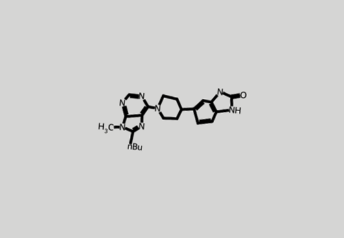 CCCCc1nc2c(N3CCC(c4ccc5c(c4)[N]C(=O)N5)CC3)ncnc2n1C